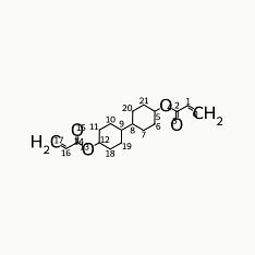 C=CC(=O)OC1CCC(C2CCC(OC(=O)C=C)CC2)CC1